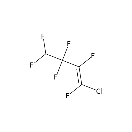 F/C(Cl)=C(/F)C(F)(F)C(F)F